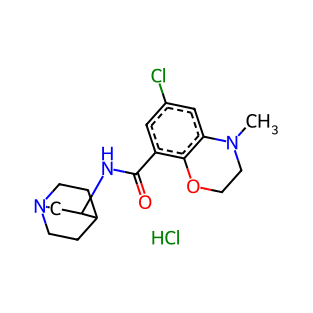 CN1CCOc2c(C(=O)NC3CN4CCC3CC4)cc(Cl)cc21.Cl